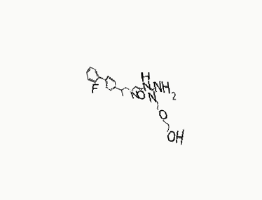 CC(Cc1cc(NC(N)=NCCOCCCO)on1)c1ccc(-c2ccccc2F)cc1